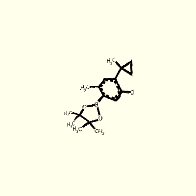 Cc1cc(C2(C)CC2)c(Cl)cc1B1OC(C)(C)C(C)(C)O1